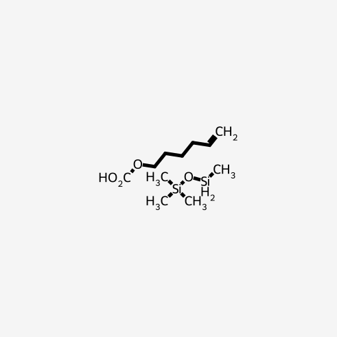 C=CCCCCOC(=O)O.C[SiH2]O[Si](C)(C)C